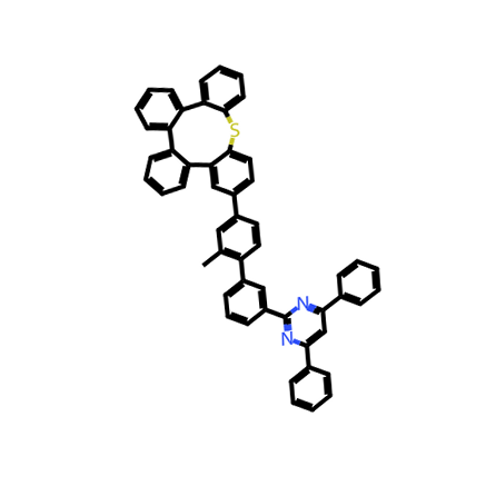 Cc1cc(-c2ccc3sc4ccccc4c4ccccc4c4ccccc4c3c2)ccc1-c1cccc(-c2nc(-c3ccccc3)cc(-c3ccccc3)n2)c1